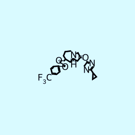 O=S(=O)(c1ccc(C(F)(F)F)cc1)C1CCCN2C[C@H](Oc3cnc(C4CC4)cn3)C[C@H]2C1